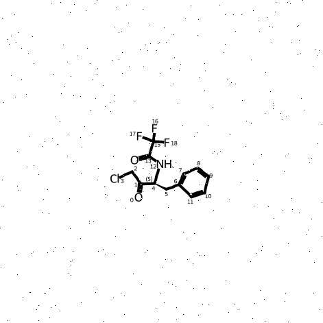 O=C(CCl)[C@H](Cc1ccccc1)NC(=O)C(F)(F)F